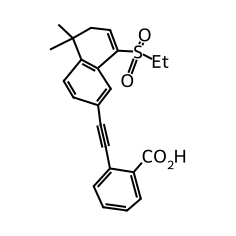 CCS(=O)(=O)C1=CCC(C)(C)c2ccc(C#Cc3ccccc3C(=O)O)cc21